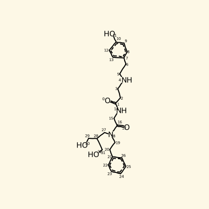 O=C(CCNCCc1ccc(O)cc1)NCC(=O)N(CCc1ccccc1)CC(CO)CO